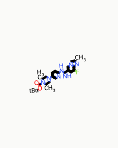 Cc1cn2cc(C(=N)Nc3ccc(N4C[C@@H](C)N(C(=O)OC(C)(C)C)[C@@H](C)C4)cn3)cc(F)c2n1